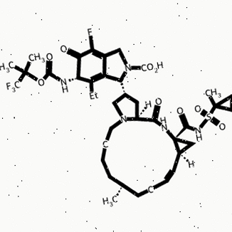 CCC1=C2C(=C(F)C(=O)[C@H]1NC(=O)OC(C)(C)C(F)(F)F)CN(C(=O)O)C2[C@@H]1C[C@H]2C(=O)N[C@]3(C(=O)NS(=O)(=O)C4(C)CC4)C[C@H]3/C=C\CC[C@H](C)CCCCN2C1